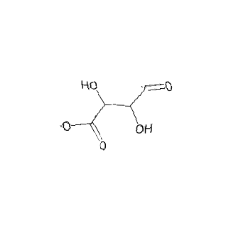 [O]C(=O)C(O)C(O)[C]=O